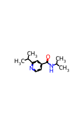 CC(C)NC(=O)c1ccnc(C(C)C)c1